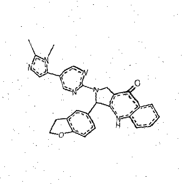 Cc1ncc(-c2cnc(N3Cc4c([nH]c5ccccc5c4=O)C3c3ccc4c(c3)CCO4)nc2)n1C